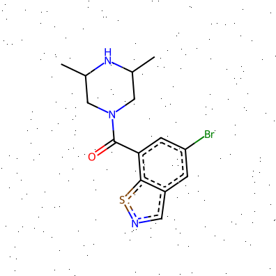 CC1CN(C(=O)c2cc(Br)cc3cnsc23)CC(C)N1